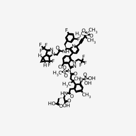 Cc1cc(CC(=O)N[C@@H](CC(=O)O)C(=O)O)c(C(C)(C)CC(=O)N(c2nn(CC(F)(F)F)c3c(-c4ccc(C#CC(C)(C)S(C)(=O)=O)nc4[C@H](Cc4cc(F)cc(F)c4)NC(=O)Cn4nc(C(F)(F)F)c5c4C(F)(F)[C@@H]4C[C@H]54)ccc(Cl)c23)S(C)(=O)=O)c(OP(=O)(O)O)c1